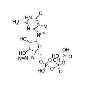 Cc1nc2c(ncn2[C@@H]2O[C@@](COP(=O)(O)OP(=O)(O)OP(=O)(O)O)(N=[N+]=[N-])[C@@H](O)[C@H]2O)c(=O)[nH]1